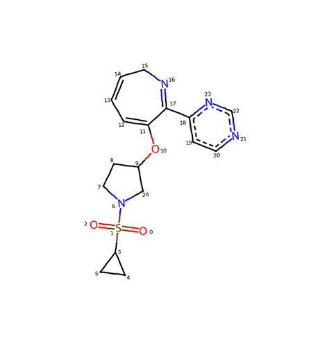 O=S(=O)(C1CC1)N1CCC(OC2=CC=CCN=C2c2ccncn2)C1